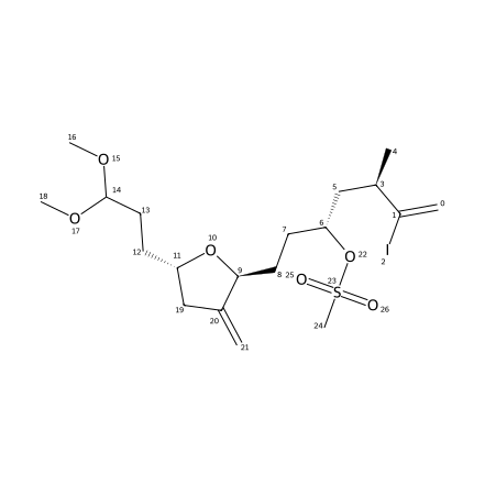 C=C(I)[C@H](C)C[C@@H](CC[C@@H]1O[C@@H](CCC(OC)OC)CC1=C)OS(C)(=O)=O